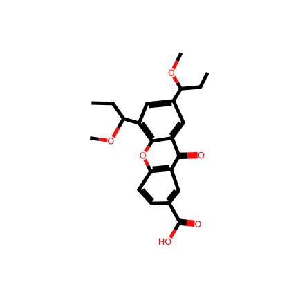 CCC(OC)c1cc(C(CC)OC)c2oc3ccc(C(=O)O)cc3c(=O)c2c1